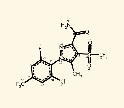 Cc1c(S(=O)(=O)C(F)(F)F)c(C(N)=O)nn1-c1c(F)cc(C(F)(F)F)cc1Cl